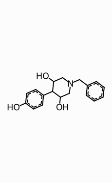 Oc1ccc(C2C(O)CN(Cc3ccccc3)CC2O)cc1